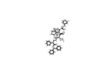 C[C@H](NCCC(C(=O)OC(c1ccccc1)c1ccccc1)c1ccccc1)C(=O)N1[C@H](C(=O)OCc2ccccc2)C[C@@H]2CCC[C@@H]21